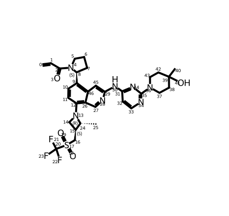 C=CC(=O)N1CCC[C@H]1c1ccc(N2C[C@H](CS(=O)(=O)C(F)(F)F)[C@H]2C)c2cnc(Nc3ccnc(N4CCC(C)(O)CC4)n3)cc12